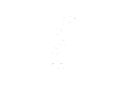 c1cc(-c2ccc3oc4nc5ccccc5n4c3c2)cc(-c2ccc3oc4nc5ccccc5n4c3c2)c1